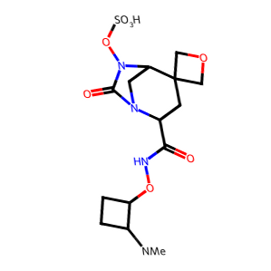 CNC1CCC1ONC(=O)C1CC2(COC2)C2CN1C(=O)N2OS(=O)(=O)O